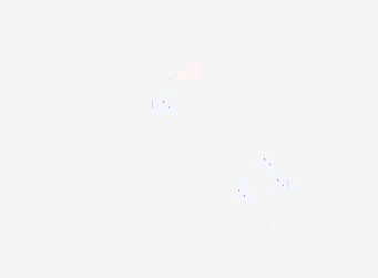 CC(C(=O)Nc1ccc(-c2n[nH]c(C(F)(F)F)n2)cc1)c1ccccc1